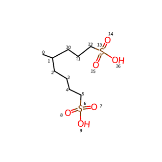 CC(CCCCS(=O)(=O)O)CCCS(=O)(=O)O